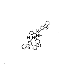 N[C@H](NC(NCc1ccc2c(c1)sc1ccccc12)c1ccccc1)c1ccc2oc3cccc(-c4cccc5c4sc4ccccc45)c3c2c1